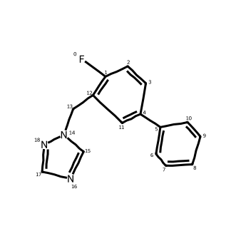 Fc1ccc(-c2ccccc2)cc1Cn1cncn1